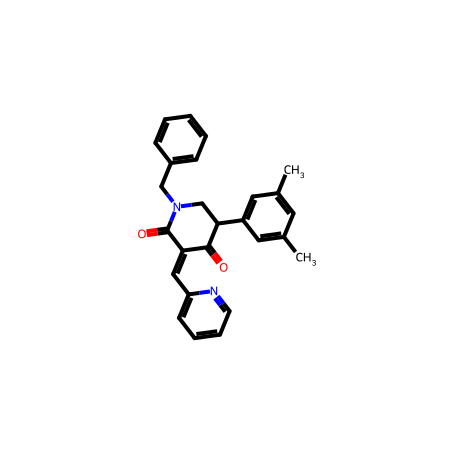 Cc1cc(C)cc(C2CN(Cc3ccccc3)C(=O)C(=Cc3ccccn3)C2=O)c1